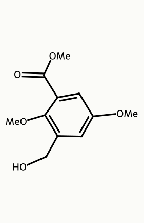 COC(=O)c1cc(OC)cc(CO)c1OC